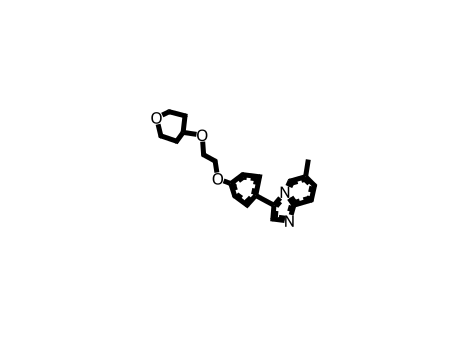 Cc1ccc2ncc(-c3ccc(OCCOC4CCOCC4)cc3)n2c1